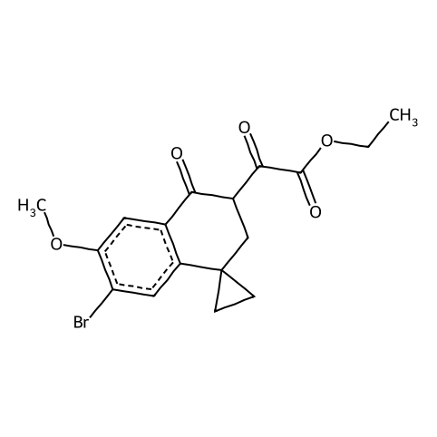 CCOC(=O)C(=O)C1CC2(CC2)c2cc(Br)c(OC)cc2C1=O